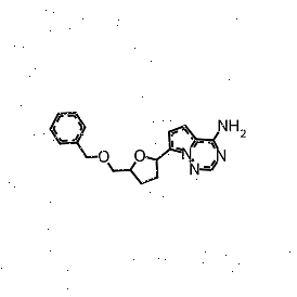 Nc1ncnn2c(C3CCC(COCc4ccccc4)O3)ccc12